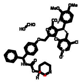 COc1ccc([C@H](Cc2c(Cl)c[n+]([O-])cc2Cl)c2cc(COc3ccc(C(NC(=O)O[C@H]4CN5CCC4CC5)c4ccccc4)cc3)oc2C(=O)O)cc1OC.O=CO